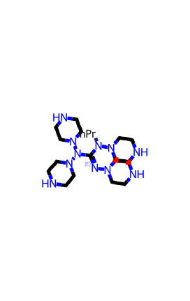 CCCN(/C(=N\N1CCNCC1)N(N1CCNCC1)N1CCNCC1)N1CCNCC1